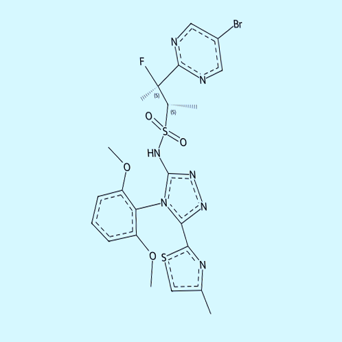 COc1cccc(OC)c1-n1c(NS(=O)(=O)[C@@H](C)[C@@](C)(F)c2ncc(Br)cn2)nnc1-c1nc(C)cs1